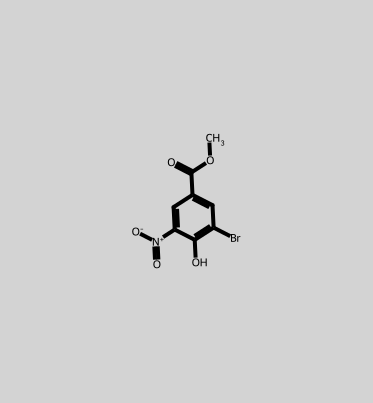 COC(=O)c1cc(Br)c(O)c([N+](=O)[O-])c1